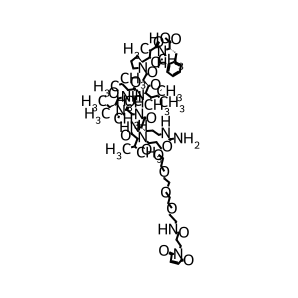 CC[C@H](C)[C@@H]([C@@H](CC(=O)N1CCC[C@H]1[C@H](OC)[C@@H](C)C(=O)N[C@@H](Cc1ccccc1)C(=O)O)OC)N(C)C(=O)[C@@H](NC(=O)[C@H](C(C)C)N(C)C(=O)CNC(=O)[C@H](CCCNC(N)=O)NC(=O)[C@@H](NC(=O)CCOCCOCCOCCOCCNC(=O)CCN1C(=O)C=CC1=O)C(C)C)C(C)C